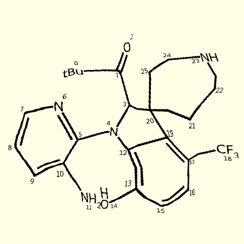 CC(C)(C)C(=O)C1N(c2ncccc2N)c2c(O)ccc(C(F)(F)F)c2C12CCNCC2